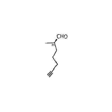 C#CCCC[C@@H](C)C=O